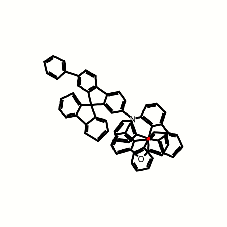 c1ccc(-c2ccc3c(c2)C2(c4ccccc4-c4ccccc42)c2cc(N(c4cccc5c4C(c4ccccc4)(c4ccccc4)c4ccccc4-5)c4cccc5oc6ccccc6c45)ccc2-3)cc1